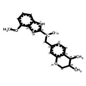 COc1cccc2[nH]c([S+]([O-])Cc3cc4c(cn3)C(C)C(C)CO4)nc12